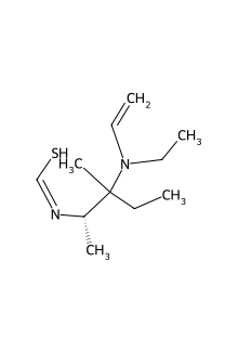 C=CN(CC)C(C)(CC)[C@H](C)/N=C\S